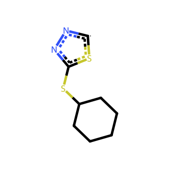 [c]1nnc(SC2CCCCC2)s1